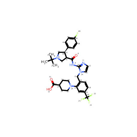 CC(C)(C)N1CC(C(=O)Nc2nccn2Cc2ccc(C(F)(F)F)cc2N2CCC(C(=O)O)CC2)[C@H](c2ccc(F)cc2)C1